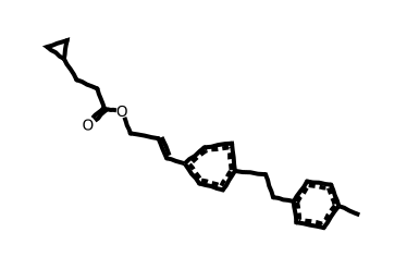 Cc1ccc(CCc2ccc(C=CCOC(=O)CCC3CC3)cc2)cc1